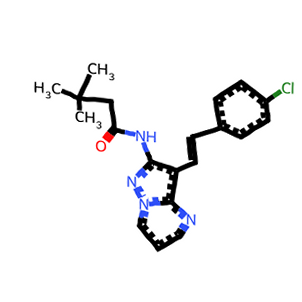 CC(C)(C)CC(=O)Nc1nn2cccnc2c1/C=C/c1ccc(Cl)cc1